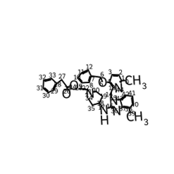 Cc1ccc(OCc2ccccc2)c(Cn2c(NC3CCN(CCOC(=O)Cc4ccccc4)CC3)nc3c(C)cccc32)n1